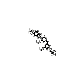 Cc1cc(CN2CCN(c3nc4ccc(OC(F)(F)F)cc4s3)[C@H](C)C2)cc(OCC(=O)O)c1